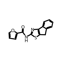 O=C(Nc1nc2c(s1)Cc1ccccc1-2)c1ccco1